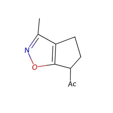 CC(=O)C1CCc2c(C)noc21